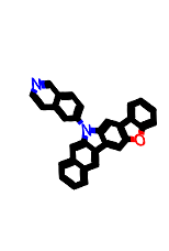 c1ccc2cc3c(cc2c1)c1cc2oc4ccccc4c2cc1n3-c1ccc2cnccc2c1